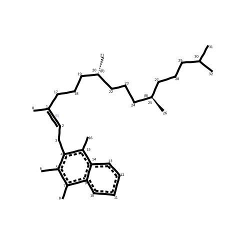 C/C(=C\Cc1c(C)c(C)c2ccccc2c1C)CCC[C@H](C)CCC[C@H](C)CCCC(C)C